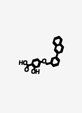 O=C(O)c1ccc(OCc2cccc(-c3ccc4ccccc4c3)c2)cc1O